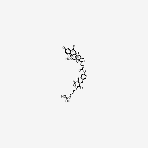 CC(=O)NC(Cc1ccc(OC(=O)OCC(=O)[C@]2(C)C(C)C[C@H]3[C@@H]4C[C@H](F)C5=CC(=O)C=C[C@]5(C)[C@H]4[C@@H](O)C[C@@]32C)cc1)C(=O)OCCCCON(O)O